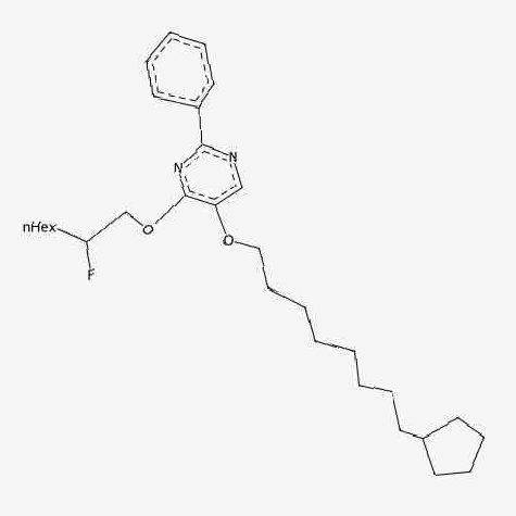 CCCCCCC(F)COc1nc(-c2ccccc2)ncc1OCCCCCCCCC1CCCC1